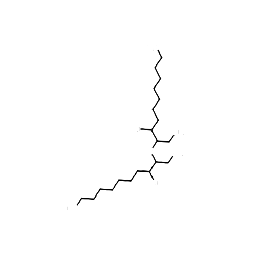 CCCCCCCCC(Cl)C(CC)OC(CC)C(Cl)CCCCCCCC